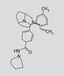 C=CCN1CCC2CCC(C1)N2C(C1=CCC(C(=O)NN2CCCCC2)C=C1)c1cccc(C)c1